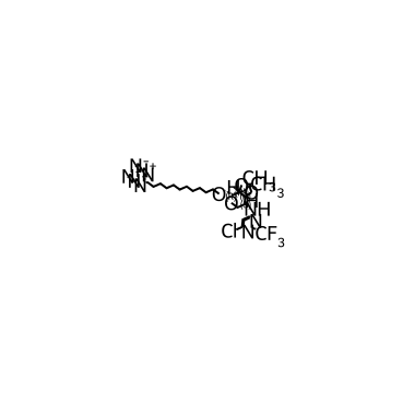 CC1(C)O[C@@H]2[C@H](O1)[C@@H](Nc1cc(Cl)nc(C(F)(F)F)n1)CO[C@@H]2COCCCCCCCCCCC(N=[N+]=[N-])N=[N+]=[N-]